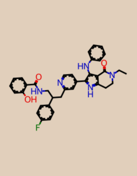 CCN1CCc2[nH]c(-c3ccnc(CC(CNC(=O)c4ccccc4O)c4ccc(F)cc4)c3)c(Nc3ccccc3)c2C1=O